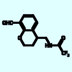 O=Cc1cccc2c1OCCC2CNC(=O)C(F)(F)F